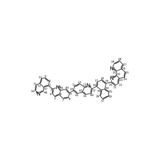 c1cc(-c2ccc3ccc(-c4ccc5nc(-c6ccc(-c7ccc8ccc9cccnc9c8n7)c7ccccc67)ccc5c4)cc3n2)c2cnccc2c1